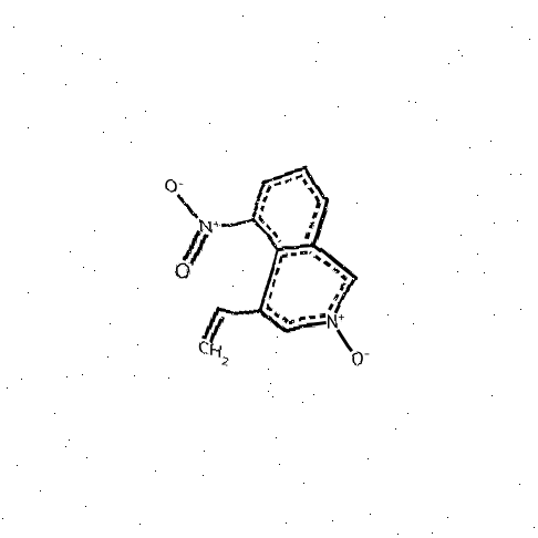 C=Cc1c[n+]([O-])cc2cccc([N+](=O)[O-])c12